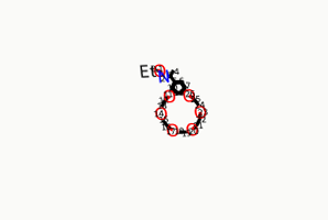 CCON=C(C)c1ccc2c(c1)OCCOCCOCCOCCOCCO2